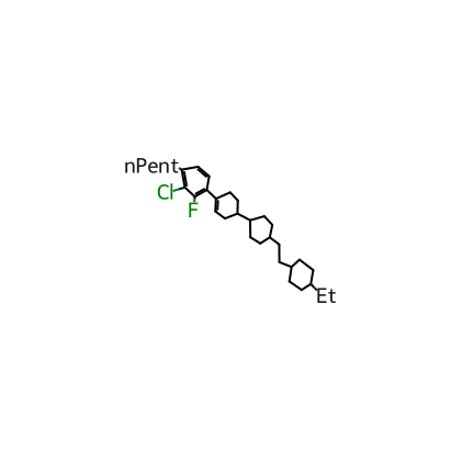 CCCCCc1ccc(C2=CCC(C3CCC(CCC4CCC(CC)CC4)CC3)CC2)c(F)c1Cl